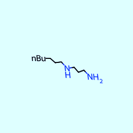 [CH2]CCCCCCNCCCN